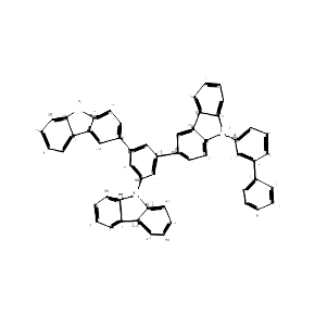 c1ccc(-c2cccc(-n3c4ccccc4c4cc(-c5cc(-c6ccc7sc8ccccc8c7c6)cc(-n6c7ccccc7c7ccccc76)c5)ccc43)c2)cc1